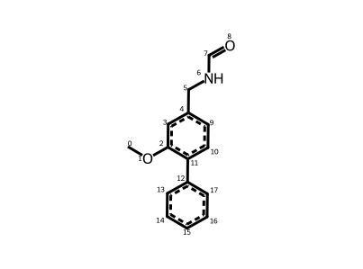 COc1cc(CNC=O)ccc1-c1ccccc1